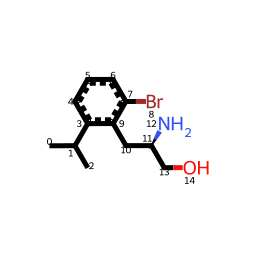 CC(C)c1cccc(Br)c1C[C@@H](N)CO